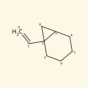 C=[C]C12CCCCC1C2